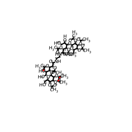 CC(=O)OC(C(=O)NCCNC(=O)C(OC(C)=O)C(OC(C)=O)C(OC1OC(CO)C(OC(C)=O)C(OC(C)=O)C1OC(C)=O)C(O)CO)C(OC(C)=O)C(OC1OC(CO)C(OC(C)=O)C(OC(C)=O)C1OC(C)=O)C(O)CO